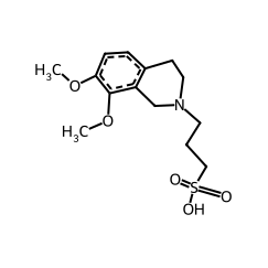 COc1ccc2c(c1OC)CN(CCCS(=O)(=O)O)CC2